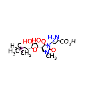 C=P(C)(C)CC[C@H]1O[C@@H](c2cn(C)c(=O)n(CCC(N)C(=O)O)c2=O)[C@H](O)[C@@H]1O